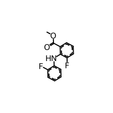 COC(=O)c1cccc(F)c1Nc1ccccc1F